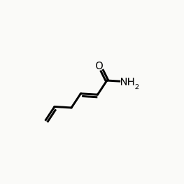 C=CCC=CC(N)=O